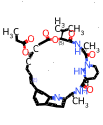 CCC(=O)O[C@H]1CC/C=C/c2ccc3ccc(nc3c2)[C@@H](C)NC(=O)[C@@H]2CCCN(N2)C(=O)[C@H](C)NC(=O)[C@H](C(C)C)OC(=O)CC1